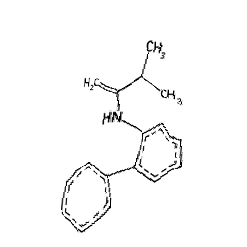 C=C(Nc1ccccc1-c1ccccc1)C(C)C